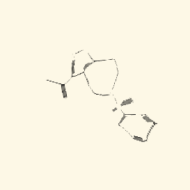 O=C(O)c1noc2c1CN(S(=O)(=O)c1ccccc1)CC2